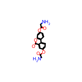 NCC(=O)Oc1ccc2c(c1)oc(=O)c1cc(OC(=O)CN)ccc12